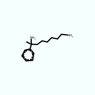 CC(N)(CCCCCCN)c1ccccc1